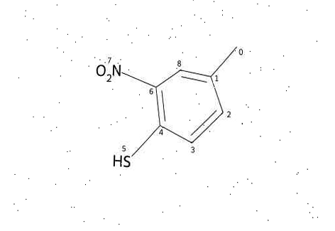 Cc1ccc(S)c([N+](=O)[O-])c1